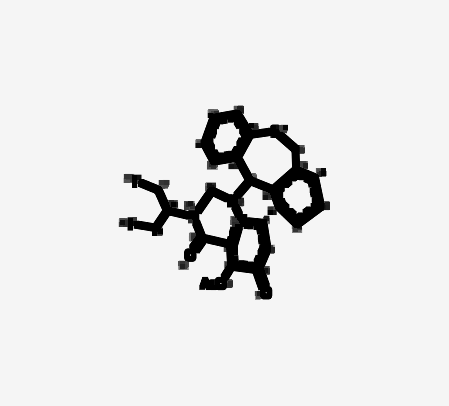 CC(=O)Oc1c2n(ccc1=O)N(C1c3ccccc3CSc3ccccc31)CN(C(CF)CF)C2=O